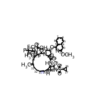 COc1cc2ccccc2c(O[C@@H]2C[C@H]3C(=O)N[C@]4(C(=O)NS(=O)(=O)C5CC5)C[C@H]4/C=C\CC[C@@H](C)C[C@@H](C)[C@H](N(C(=O)O)C(C)(C)C(F)(F)F)C(=O)N3C2)n1